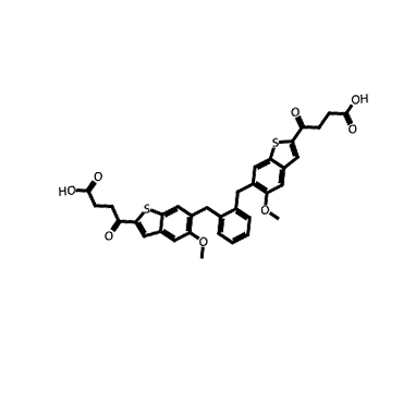 COc1cc2cc(C(=O)CCC(=O)O)sc2cc1Cc1ccccc1Cc1cc2sc(C(=O)CCC(=O)O)cc2cc1OC